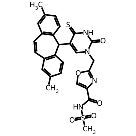 Cc1ccc2c(c1)C=Cc1cc(C)ccc1C2c1cn(Cc2nc(C(=O)NS(C)(=O)=O)co2)c(=O)[nH]c1=S